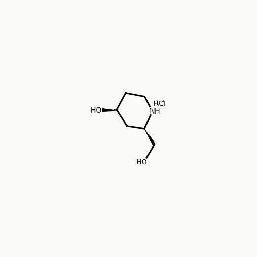 Cl.OC[C@H]1C[C@@H](O)CCN1